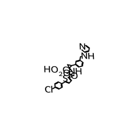 O=C(O)C1(NS(=O)(=O)c2ccc(-c3ccc(Cl)cc3)s2)CC1c1cccc(CNc2cccnc2)c1